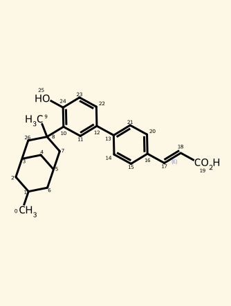 CC1CC2CC(C1)CC(C)(c1cc(-c3ccc(/C=C/C(=O)O)cc3)ccc1O)C2